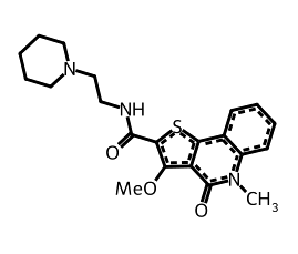 COc1c(C(=O)NCCN2CCCCC2)sc2c1c(=O)n(C)c1ccccc21